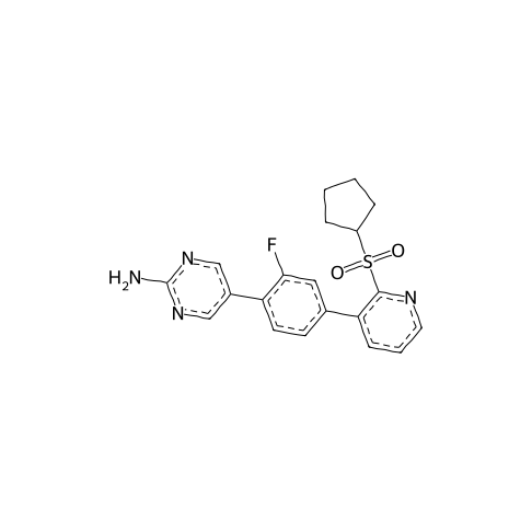 Nc1ncc(-c2ccc(-c3cccnc3S(=O)(=O)C3CCCC3)cc2F)cn1